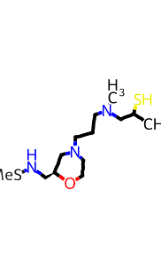 CSNC[C@H]1CN(CCCN(C)CC(C)S)CCO1